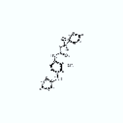 CC[N+](CC)(CC(=O)Nc1ccc(Nc2ccccc2)cc1)c1ccccc1.[Cl-]